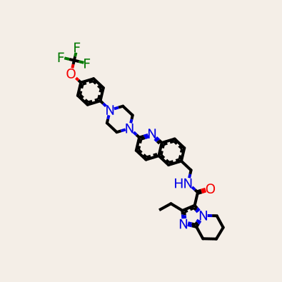 CCc1nc2n(c1C(=O)NCc1ccc3nc(N4CCN(c5ccc(OC(F)(F)F)cc5)CC4)ccc3c1)CCCC2